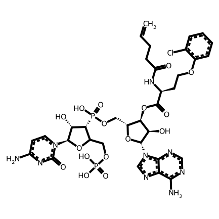 C=CCCC(=O)N[C@@H](CCOc1ccccc1Cl)C(=O)O[C@H]1[C@@H](O)[C@H](n2cnc3c(N)ncnc32)O[C@@H]1COP(=O)(O)[C@@H]1C(COP(=O)(O)O)O[C@@H](n2ccc(N)nc2=O)[C@@H]1O